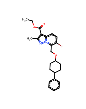 CCOC(=O)c1c(C)nn2c(COC3CCC(c4ccccc4)CC3)c(Br)ccc12